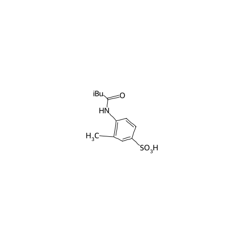 CCC(C)C(=O)Nc1ccc(S(=O)(=O)O)cc1C